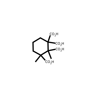 CC1(C(=O)O)CCCC(C(=O)O)(C(=O)O)C1(C)C(=O)O